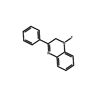 FN1CC(c2ccccc2)=Nc2ccccc21